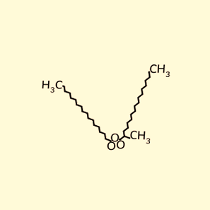 CCCCCCCCCCCCCCCCCC(=O)OC(=O)C(CC)CCCCCCCCCCCCCCCC